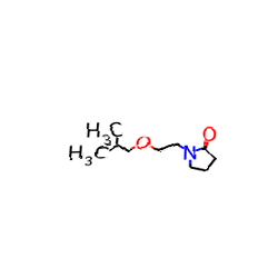 CC(C)COCCN1CCCC1=O